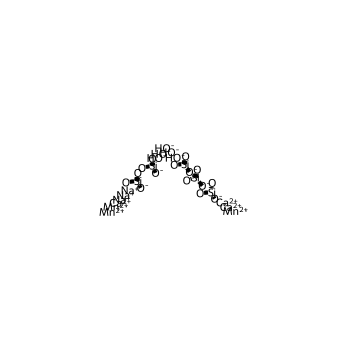 O=[Si]([O-])[O-].O=[Si]([O-])[O-].O=[Si]([O-])[O-].O=[Si]([O-])[O-].O=[Si]([O-])[O-].[Ca+2].[Ca+2].[Ca+2].[Mn+2].[Mn+2].[Mn+2].[Na+].[Na+].[Na+].[OH-].[OH-].[OH-].[OH-].[OH-]